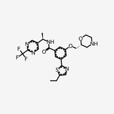 CCc1cnc(-c2cc(OC[C@H]3CNCCO3)cc(C(=O)N[C@H](C)c3cnc(C(F)(F)F)nc3)c2)s1